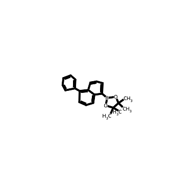 CC1(C)OB(c2cccc3c(-c4ccccc4)cccc23)OC1(C)C